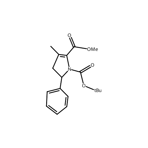 COC(=O)C1=C(C)CC(c2ccccc2)N1C(=O)OC(C)(C)C